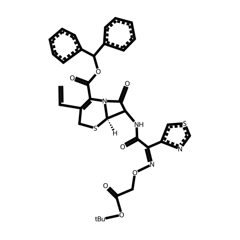 C=CC1=C(C(=O)OC(c2ccccc2)c2ccccc2)N2C(=O)C(NC(=O)/C(=N\OCC(=O)OC(C)(C)C)c3cscn3)[C@H]2SC1